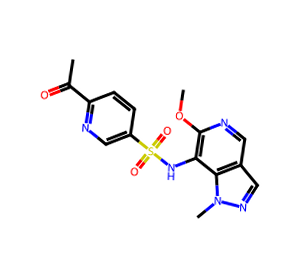 COc1ncc2cnn(C)c2c1NS(=O)(=O)c1ccc(C(C)=O)nc1